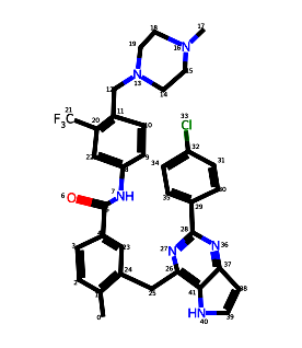 Cc1ccc(C(=O)Nc2ccc(CN3CCN(C)CC3)c(C(F)(F)F)c2)cc1Cc1nc(-c2ccc(Cl)cc2)nc2cc[nH]c12